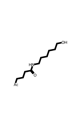 CC(=O)CCCC(=O)NCCCCCCO